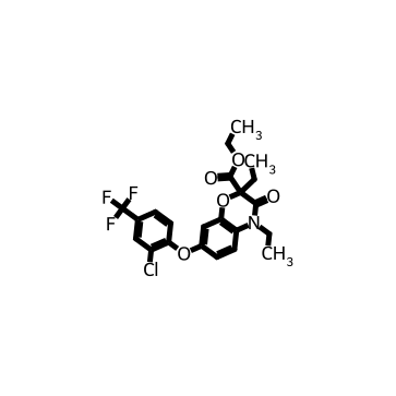 CCOC(=O)C1(CC)Oc2cc(Oc3ccc(C(F)(F)F)cc3Cl)ccc2N(CC)C1=O